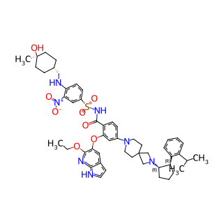 CCOc1nc2[nH]ccc2cc1Oc1cc(N2CCC3(CC2)CN([C@@H]2CCC[C@@H]2c2ccccc2C(C)C)C3)ccc1C(=O)NS(=O)(=O)c1ccc(NC[C@H]2CC[C@](C)(O)CC2)c([N+](=O)[O-])c1